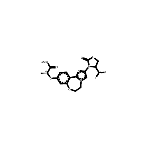 COC(=O)[C@H](C)Oc1ccc2c(c1)OCCn1cc(N3C(=O)OCC3C(F)F)nc1-2